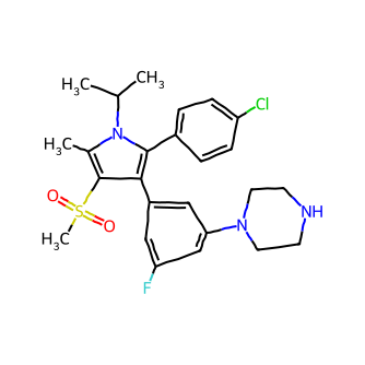 Cc1c(S(C)(=O)=O)c(-c2cc(F)cc(N3CCNCC3)c2)c(-c2ccc(Cl)cc2)n1C(C)C